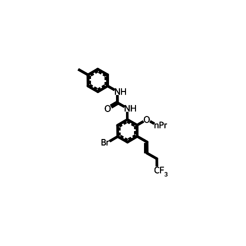 CCCOc1c(C=CCC(F)(F)F)cc(Br)cc1NC(=O)Nc1ccc(C)cc1